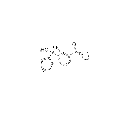 O=C(c1ccc2c(c1)C(O)(C(F)(F)F)c1ccccc1-2)N1CCC1